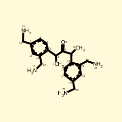 CC(C(=O)C(C)c1ccc(CN)cc1CN)c1ccc(CN)cc1CN